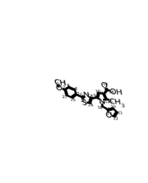 COc1ccc(-c2nc(-c3cc(C(=O)O)c(C)n3Cc3ccco3)cs2)cc1